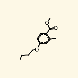 CCCCOc1ccc(C(=O)OC)c(C)c1